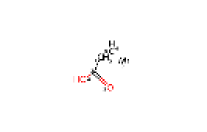 C.CC(=O)O.[Mn]